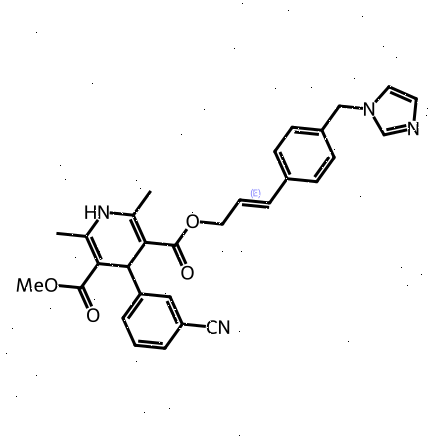 COC(=O)C1=C(C)NC(C)=C(C(=O)OC/C=C/c2ccc(Cn3ccnc3)cc2)C1c1cccc(C#N)c1